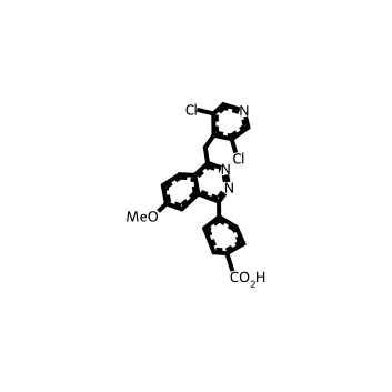 COc1ccc2c(Cc3c(Cl)cncc3Cl)nnc(-c3ccc(C(=O)O)cc3)c2c1